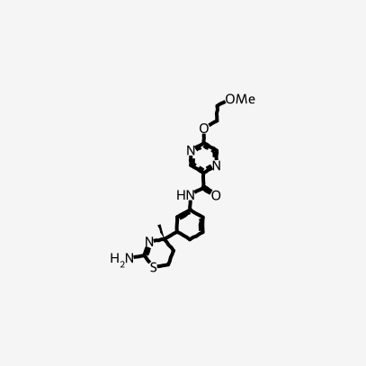 COCCOc1cnc(C(=O)NC2=CC([C@]3(C)CCSC(N)=N3)CC=C2)cn1